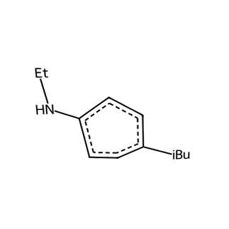 CCNc1ccc(C(C)CC)cc1